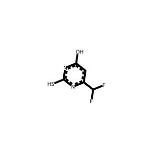 Oc1cc(C(F)F)nc(S)n1